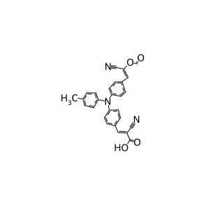 Cc1ccc(N(c2ccc(/C=C(\C#N)OC=O)cc2)c2ccc(/C=C(\C#N)C(=O)O)cc2)cc1